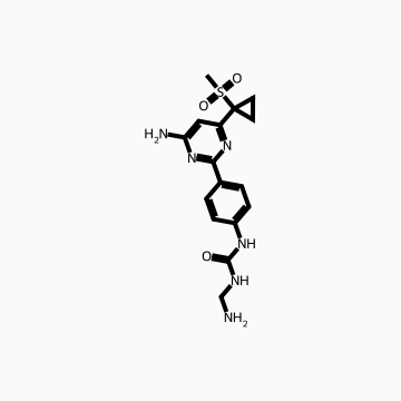 CS(=O)(=O)C1(c2cc(N)nc(-c3ccc(NC(=O)NCN)cc3)n2)CC1